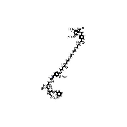 CCCCOc1nc(N)c2nc(O)n(Cc3ccc(C(=O)NCCCOCCOCCOCCCNC(=O)CCC(=O)Oc4ccc(/C=C/C(=O)NCC(=O)N[C@H](C(=O)N[C@H](CCC(=O)OCC)C(=O)OCc5ccccc5)C(C)C)cc4OC)cc3)c2n1